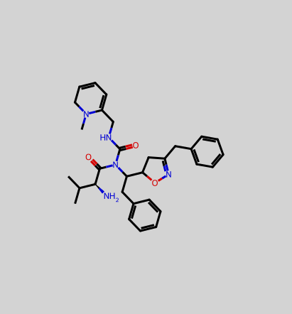 CC(C)[C@H](N)C(=O)N(C(=O)NCC1=CC=CCN1C)C(Cc1ccccc1)C1CC(Cc2ccccc2)=NO1